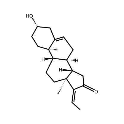 C/C=C1\C(=O)C[C@H]2[C@@H]3CC=C4C[C@@H](O)CC[C@]4(C)[C@H]3CC[C@]12C